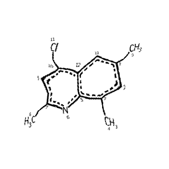 Cc1cc(C)c2nc(C)cc(Cl)c2c1